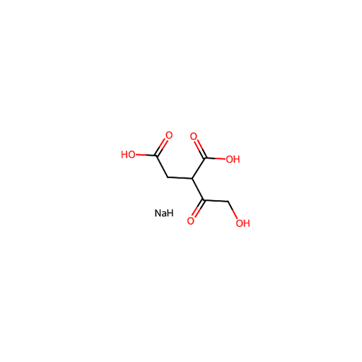 O=C(O)CC(C(=O)O)C(=O)CO.[NaH]